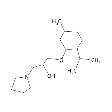 CC1CCC(C(C)C)C(OCC(O)CN2CCCC2)C1